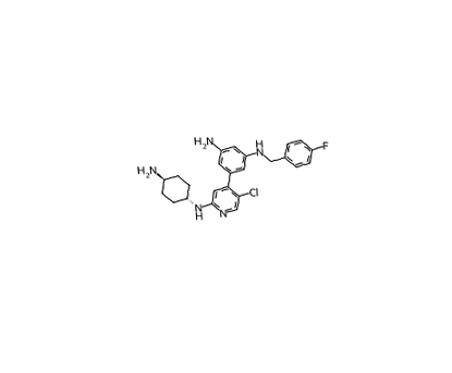 Nc1cc(NCc2ccc(F)cc2)cc(-c2cc(N[C@H]3CC[C@H](N)CC3)ncc2Cl)c1